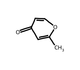 Cc1cc(=O)cco1